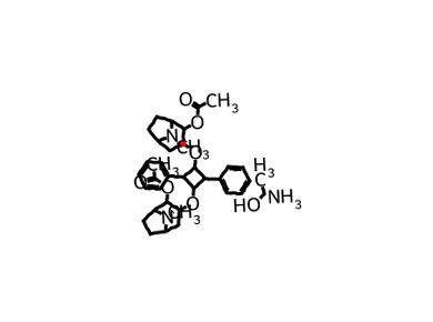 CC(=O)OC1C(OC2C(c3ccccc3)C(OC3CC4CCC(C3OC(C)=O)N4C)C2c2ccccc2)CC2CCC1N2C.CCO.N